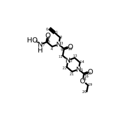 C#CCN(CC(=O)NO)C(=O)CN1CCN(C(=O)OCC)CC1